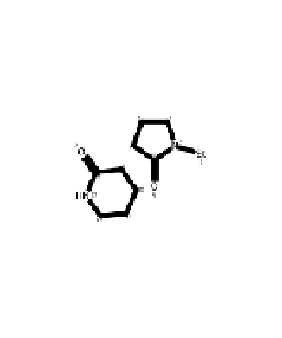 CCN1CCCC1=O.O=C1CCCCN1